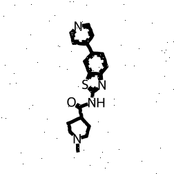 CN1CCC(C(=O)Nc2nc3ccc(-c4ccncc4)cc3s2)CC1